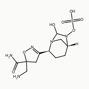 NCC1(C(N)=O)CC([C@@H]2CC[C@@H]3CN2C(O)N3OS(=O)(=O)O)=NO1